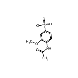 COc1cc(S(=O)(=O)Cl)ccc1NC(C)=O